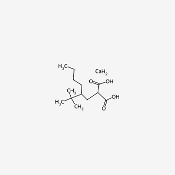 CCCCC(CC(C(=O)O)C(=O)O)C(C)(C)C.[CaH2]